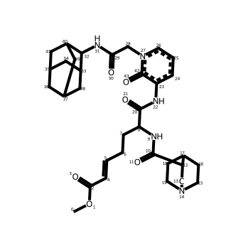 COC(=O)/C=C/CCC(NC(=O)C1CN2CCC1CC2)C(=O)Nc1cccn(CC(=O)NC2C3CC4CC(C3)CC2C4)c1=O